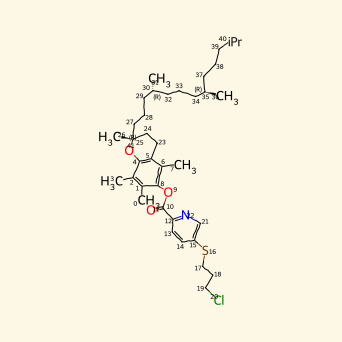 Cc1c(C)c2c(c(C)c1OC(=O)c1ccc(SCCCCl)cn1)CC[C@@](C)(CCC[C@H](C)CCC[C@H](C)CCCC(C)C)O2